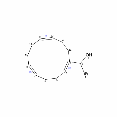 CC(C)C(O)/C1=C/CC/C=C\CC/C=C\CC1